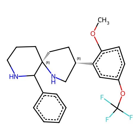 COc1ccc(OC(F)(F)F)cc1[C@H]1CC[C@]2(CCCNC2c2ccccc2)NC1